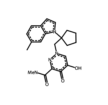 CNC(=O)c1nn(CC2(n3ccc4ccc(C)cc43)CCCC2)cc(O)c1=O